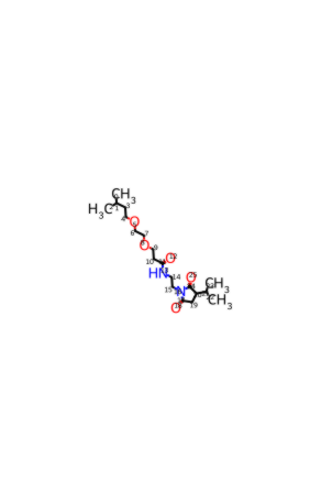 CC(C)CCOCCOCCC(=O)NCCN1C(=O)CC(C(C)C)C1=O